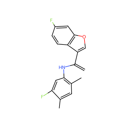 C=C(Nc1cc(F)c(C)cc1C)c1coc2cc(F)ccc12